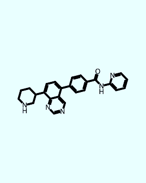 O=C(Nc1ccccn1)c1ccc(-c2ccc(C3CCCNC3)c3ncncc23)cc1